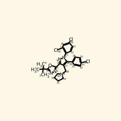 CC(C)(C)c1nnc(-c2nn(-c3ccc(Cl)cc3Cl)c(-c3ccc(Cl)cc3)c2CN2CCCC2)o1